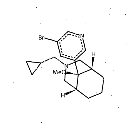 CO[C@]1(c2cncc(Br)c2)[C@@H]2CCC[C@H]1CN(CC1CC1)C2